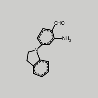 Nc1cc(N2CCc3ccccc32)ccc1C=O